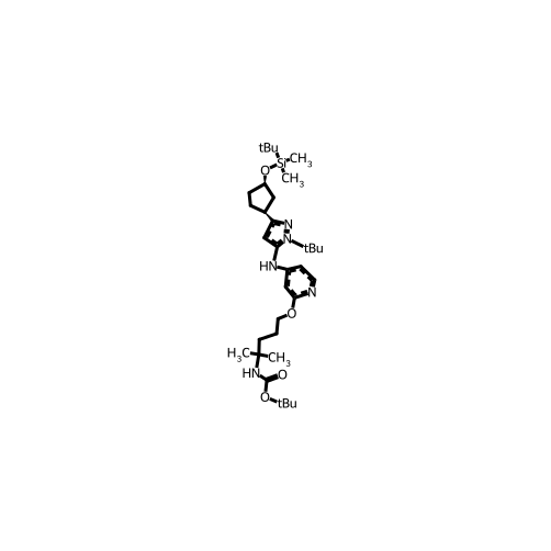 CC(C)(CCCOc1cc(Nc2cc([C@H]3CC[C@@H](O[Si](C)(C)C(C)(C)C)C3)nn2C(C)(C)C)ccn1)NC(=O)OC(C)(C)C